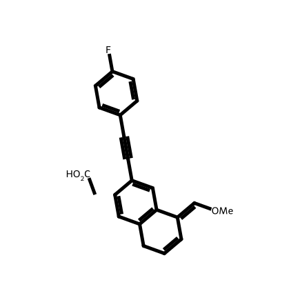 CC(=O)O.COC=C1C=CCc2ccc(C#Cc3ccc(F)cc3)cc21